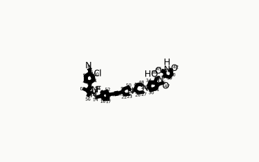 Cc1c(-c2ccc(C#N)c(Cl)c2)nn(Cc2ccc(C#CC3CCN(C4CCN(c5ccc6c(c5)C(O)N(C5CCC(=O)NC5=O)C6=O)CC4)CC3)cc2F)c1C